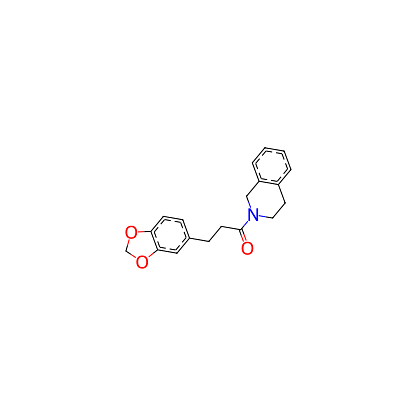 O=C(CCc1ccc2c(c1)OCO2)N1CCc2ccccc2C1